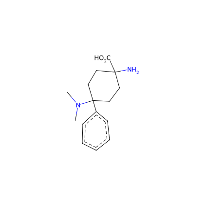 CN(C)C1(c2ccccc2)CCC(N)(C(=O)O)CC1